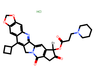 CCC1(OC(=O)CCN2CCCCC2)C(=O)Cc2c1cc1n(c2=O)Cc2c-1nc1cc3c(cc1c2C1CCC1)OCO3.Cl